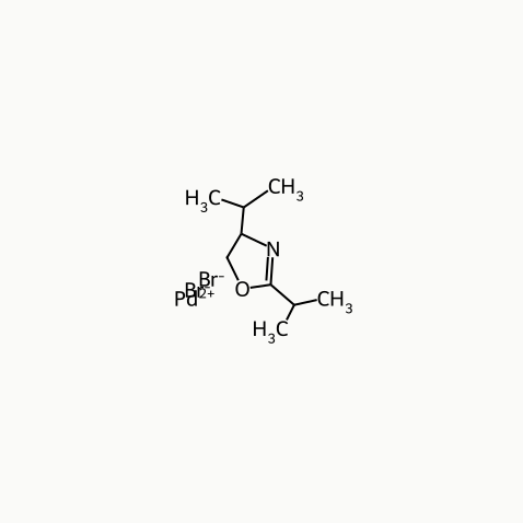 CC(C)C1=NC(C(C)C)CO1.[Br-].[Br-].[Pd+2]